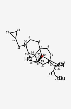 CC(C)(C)OC(=O)N1CCC23CCN(CC4CC4)C(Cc4ccc(C#N)cc42)C3(O)CC1